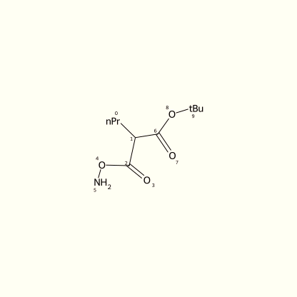 CCCC(C(=O)ON)C(=O)OC(C)(C)C